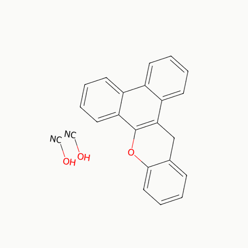 N#CO.N#CO.c1ccc2c(c1)Cc1c(c3ccccc3c3ccccc13)O2